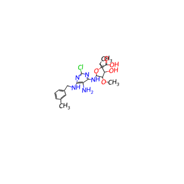 CC[C@]1(C(=O)O)OC(Nc2nc(Cl)nc(NCc3cccc(C)c3)c2N)C(OC)C1O